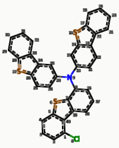 Clc1cccc2sc3c(N(c4ccc5c(c4)sc4ccccc45)c4ccc5sc6ccccc6c5c4)cccc3c12